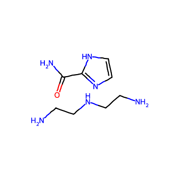 NC(=O)c1ncc[nH]1.NCCNCCN